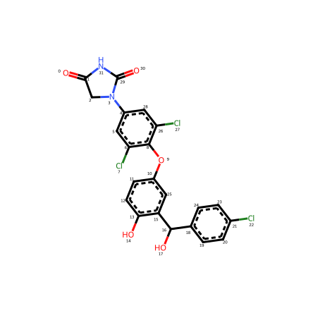 O=C1CN(c2cc(Cl)c(Oc3ccc(O)c(C(O)c4ccc(Cl)cc4)c3)c(Cl)c2)C(=O)N1